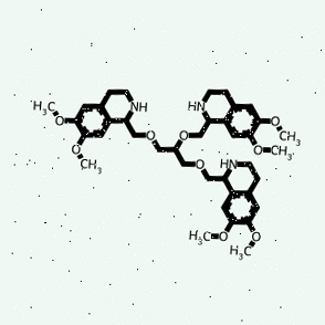 COc1cc2c(cc1OC)C(COCC(COCC1NCCc3cc(OC)c(OC)cc31)OCC1NCCc3cc(OC)c(OC)cc31)NCC2